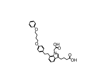 O=C(O)CCCc1cn(CC(=O)O)c2c(CCc3ccc(OCCCCOc4ccccc4)cc3)cccc12